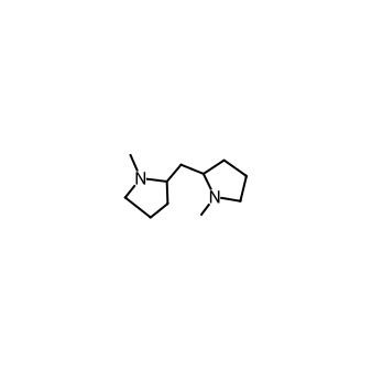 CN1CCCC1CC1CCCN1C